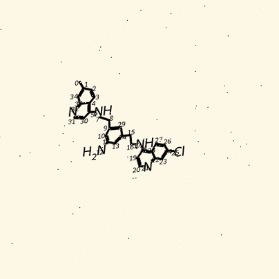 Cc1ccc2c(NCCc3cc(N)cc(CCNc4ccnc5cc(Cl)ccc45)c3)ccnc2c1